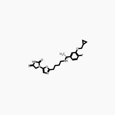 C[C@@H](NCCCCc1ncc(N2CC(=S)NC2=O)o1)c1ccc(F)c(OCC2CC2)c1